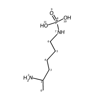 CC(N)CCCCNP(=O)(O)O